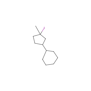 CC1(I)CCC(C2CCCCC2)C1